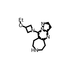 CCOC1CN(c2c3c(nc4ccnn24)CCNCC3)C1